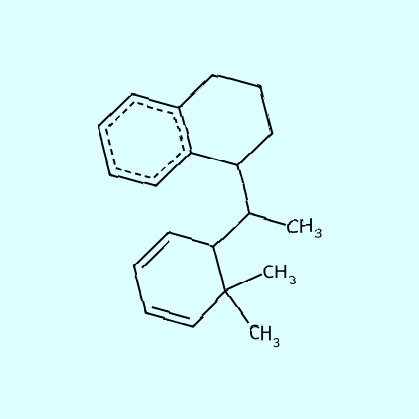 CC(C1CCCc2ccccc21)C1C=CC=CC1(C)C